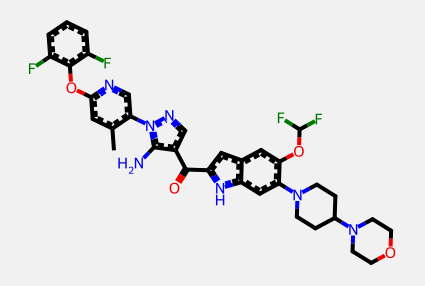 Cc1cc(Oc2c(F)cccc2F)ncc1-n1ncc(C(=O)c2cc3cc(OC(F)F)c(N4CCC(N5CCOCC5)CC4)cc3[nH]2)c1N